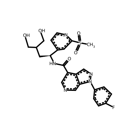 CS(=O)(=O)c1cc([C@H](CC(CO)CO)NC(=O)c2cncc3c2cnn3-c2ccc(F)cc2)ccn1